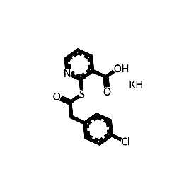 O=C(Cc1ccc(Cl)cc1)Sc1ncccc1C(=O)O.[KH]